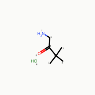 CC(C)(C)C(=O)CN.Cl